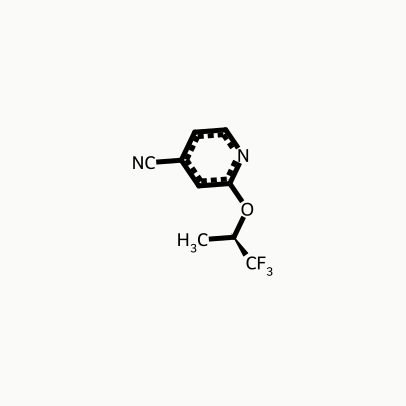 C[C@@H](Oc1cc(C#N)ccn1)C(F)(F)F